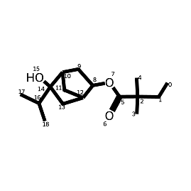 CCC(C)(C)C(=O)OC1CC2CC1CC2(O)C(C)C